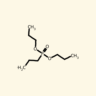 [CH2]CCP(=O)(OCCC)OCCC